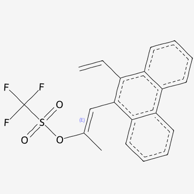 C=Cc1c(/C=C(\C)OS(=O)(=O)C(F)(F)F)c2ccccc2c2ccccc12